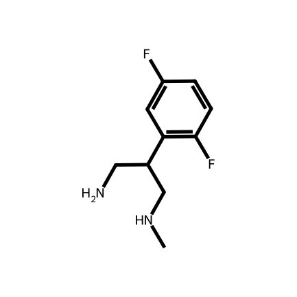 CNCC(CN)c1cc(F)ccc1F